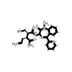 C=CC[C@H](C(N)=O)[C@@H](CC(C)C)C(=O)NC1N=C(c2ccccn2)c2ccccc2N(C)C1=O